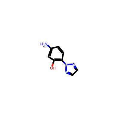 Nc1ccc(-n2nccn2)c(O)c1